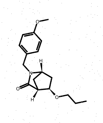 CCCO[C@@H]1C[C@@H]2C[C@H]1C(=O)N2Cc1ccc(OC)cc1